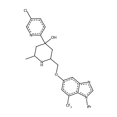 CC1CC(O)(c2ccc(Cl)cn2)CC(COc2cc(C(F)(F)F)c3c(c2)ncn3C(C)C)N1